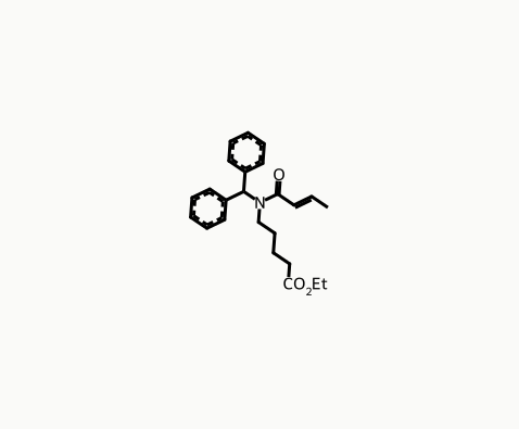 C/C=C/C(=O)N(CCCCC(=O)OCC)C(c1ccccc1)c1ccccc1